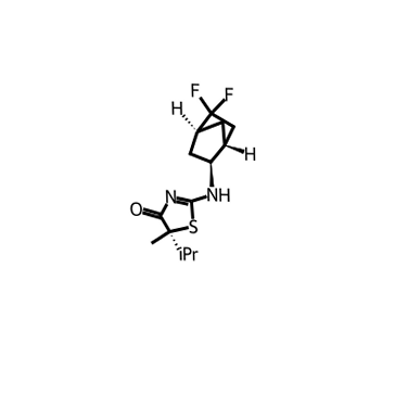 CC(C)[C@@]1(C)SC(N[C@H]2C[C@@H]3C[C@@H]2CC3(F)F)=NC1=O